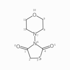 O=C1CSC(=O)N1N1CCOCC1